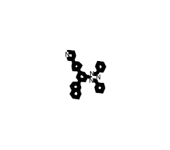 c1ccc(-c2nc(-c3ccccc3)nc(-c3cc(-c4ccc(-c5cccnc5)cc4)cc(-c4ccc5ccccc5c4)c3)n2)cc1